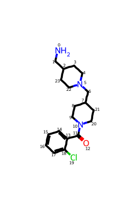 NCC1CCN(CC2CCN(C(=O)c3ccccc3Cl)CC2)CC1